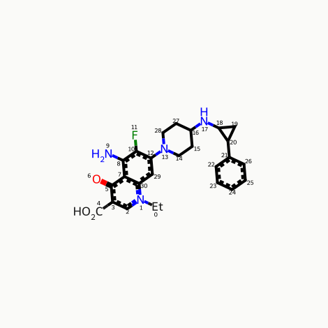 CCn1cc(C(=O)O)c(=O)c2c(N)c(F)c(N3CCC(NC4CC4c4ccccc4)CC3)cc21